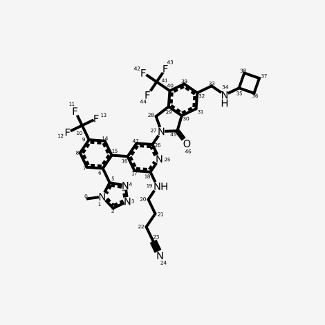 Cn1cnnc1-c1ccc(C(F)(F)F)cc1-c1cc(NCCCC#N)nc(N2Cc3c(cc(CNC4CCC4)cc3C(F)(F)F)C2=O)c1